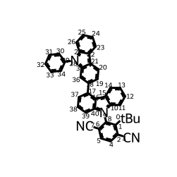 CC(C)(C)c1c(C#N)ccc(C#N)c1-n1c2ccccc2c2c(-c3ccc4c5ccccc5n(-c5ccccc5)c4c3)cccc21